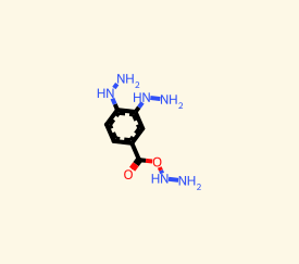 NNOC(=O)c1ccc(NN)c(NN)c1